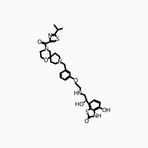 CC(C)c1nc(C(=O)N2CCOC3(CCN(Cc4cccc(OCCNC[C@H](O)c5ccc(O)c6[nH]c(=O)sc56)c4)CC3)C2)cs1